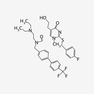 CCN(CC)CCN(C=O)Cc1ccc(-c2ccc(C(F)(F)F)cc2)cc1.Cn1cc(CCO)c(=O)nc1SCc1ccc(F)cc1